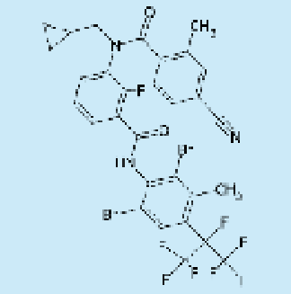 Cc1cc(C#N)ccc1C(=O)N(CC1CC1)c1cccc(C(=O)Nc2c(Br)cc(C(F)(C(F)(F)F)C(F)(F)F)c(C)c2Br)c1F